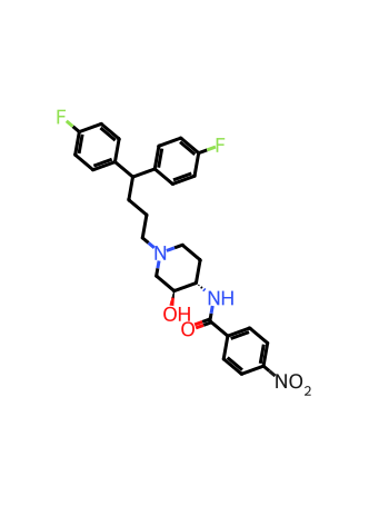 O=C(N[C@H]1CCN(CCCC(c2ccc(F)cc2)c2ccc(F)cc2)C[C@@H]1O)c1ccc([N+](=O)[O-])cc1